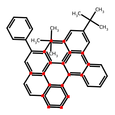 CC(C)(C)c1cc(-c2ccccc2N(c2ccccc2-c2ccc(-c3ccccc3)cc2)c2ccccc2-c2cccc3cccc(-c4ccccc4)c23)cc(C(C)(C)C)c1